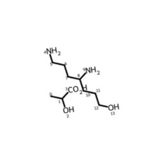 CC(O)C(=O)O.NCCCC(N)CCCO